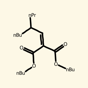 CCCCOC(=O)C(=CC(CCC)CCCC)C(=O)OCCCC